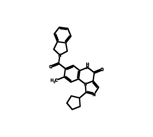 Cc1cc2c(cc1C(=O)N1Cc3ccccc3C1)[nH]c(=O)c1cnc(C3CCCC3)n12